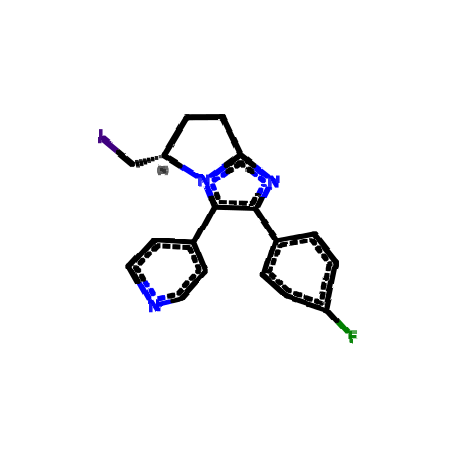 Fc1ccc(-c2nc3n(c2-c2ccncc2)[C@H](CI)CC3)cc1